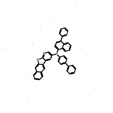 c1ccc(-c2ccc(N(c3cnc4oc5cc6ccccc6cc5c4c3)c3ccc(-c4ccccc4)c4ccccc34)cc2)cc1